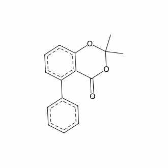 CC1(C)OC(=O)c2c(cccc2-c2ccccc2)O1